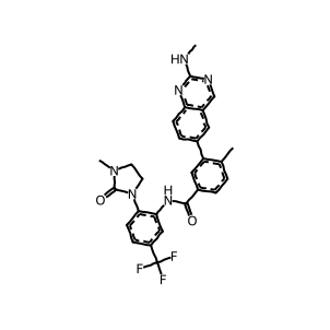 CNc1ncc2cc(-c3cc(C(=O)Nc4cc(C(F)(F)F)ccc4N4CCN(C)C4=O)ccc3C)ccc2n1